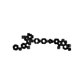 O=C1CCC(N2C(=O)c3ccc(N4CC(N5CCC(N6CCC(Nc7ncnc8[nH]cc(C(=O)c9ccc(Oc%10ccccc%10)cc9Cl)c78)CC6)CC5)C4)cc3C2=O)C(=O)N1